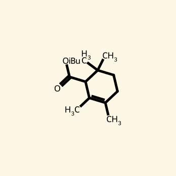 CC1=C(C)C(C(=O)OCC(C)C)C(C)(C)CC1